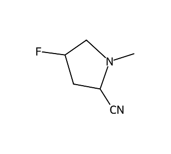 CN1CC(F)CC1C#N